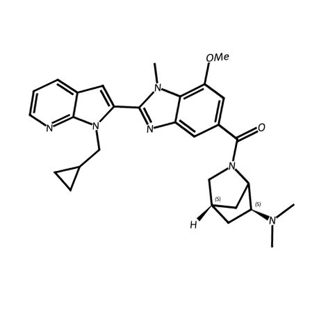 COc1cc(C(=O)N2C[C@@H]3CC2[C@@H](N(C)C)C3)cc2nc(-c3cc4cccnc4n3CC3CC3)n(C)c12